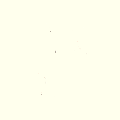 CC(C)n1cc(CN2CCC3(CC2)CN(c2ccccc2)C(=O)O3)c2c(-c3ccc(F)nc3)cccc21